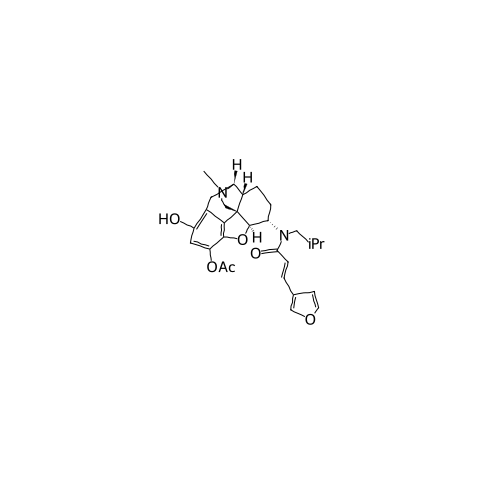 CC(=O)Oc1cc(O)c2c3c1O[C@@H]1[C@@H](N(CC(C)C)C(=O)C=Cc4ccoc4)CC[C@H]4[C@@H](C2)N(C)CC[C@]314